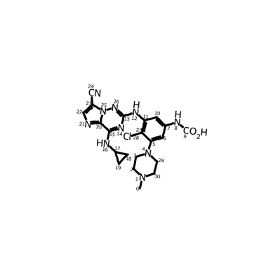 CN1CCN(c2cc(NC(=O)O)cc(Nc3nc(NC4CC4)c4ncc(C#N)n4n3)c2Cl)CC1